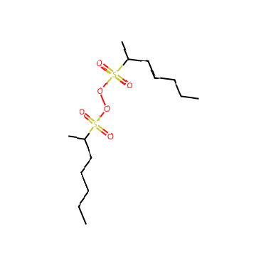 CCCCCC(C)S(=O)(=O)OOS(=O)(=O)C(C)CCCCC